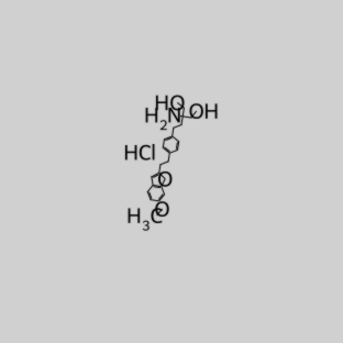 COc1ccc2cc(CCc3ccc(CCC(N)(CO)CO)cc3)oc2c1.Cl